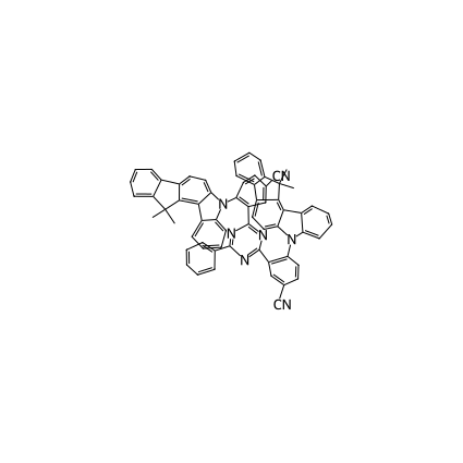 CC1(C)c2ccccc2-c2ccc3c(c21)c1ccccc1n3-c1ccc(C#N)cc1-c1nc(-c2ccccc2)nc(-c2cc(C#N)ccc2-n2c3ccccc3c3c4c(ccc32)-c2ccccc2C4(C)C)n1